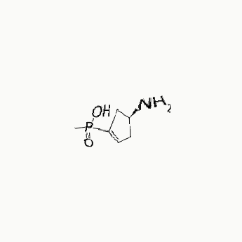 CP(=O)(O)C1=CC[C@H](N)C1